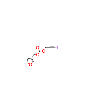 O=C(OCC#CI)OCc1ccoc1